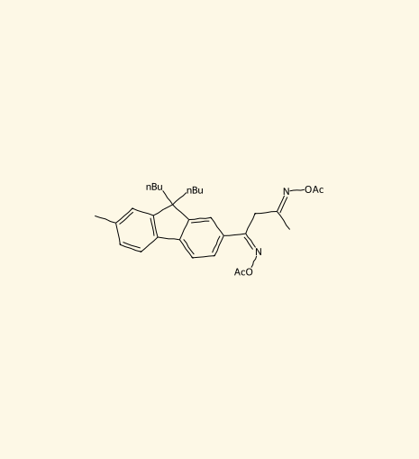 CCCCC1(CCCC)c2cc(C)ccc2-c2ccc(/C(C/C(C)=N/OC(C)=O)=N\OC(C)=O)cc21